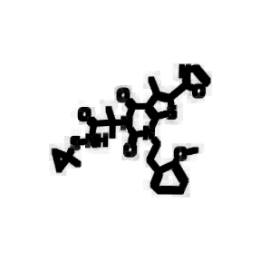 COc1ccccc1CCn1c(=O)n(C(C)(C)C(=O)NSC2(C)CC2)c(=O)c2c(C)c(-c3ncco3)sc21